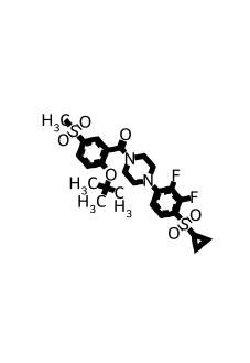 CC(C)(C)Oc1ccc(S(C)(=O)=O)cc1C(=O)N1CCN(c2ccc(S(=O)(=O)C3CC3)c(F)c2F)CC1